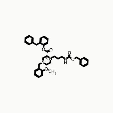 COc1ccccc1CN1CCN(CCCNC(=O)OCc2ccccc2)[C@@H](C(=O)Oc2ccccc2Cc2ccccc2)C1